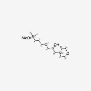 CO[Si](C)(C)CCCOCC(O)CN1CCOCC1